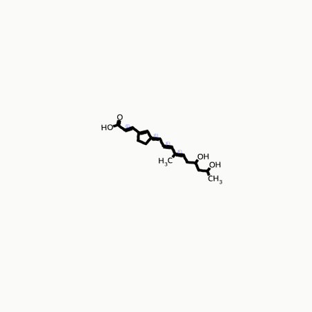 CC(/C=C/C=C1C=C(/C=C/C(=O)O)CC/1)=C\CC(O)CC(C)O